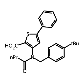 CCCC(=O)N(Cc1ccc(C(C)(C)C)cc1)c1cc(-c2ccccc2)sc1C(=O)O